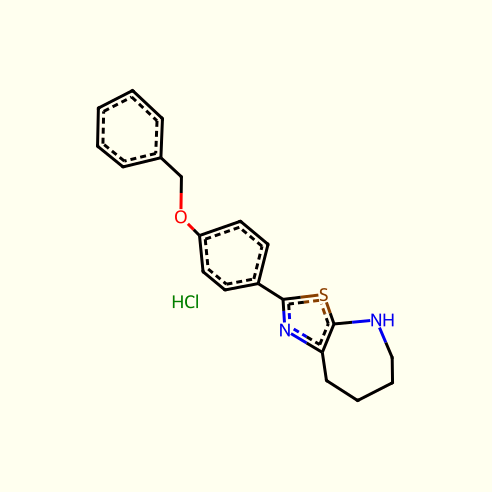 Cl.c1ccc(COc2ccc(-c3nc4c(s3)NCCCC4)cc2)cc1